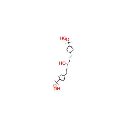 CC(C)(OO)c1ccc(CCCC(O)CCCc2ccc(C(C)(C)OO)cc2)cc1